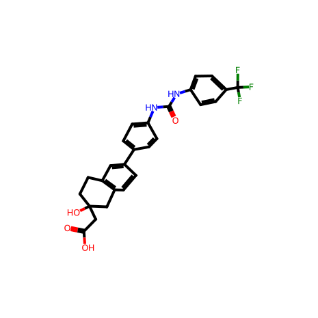 O=C(O)CC1(O)CCc2cc(-c3ccc(NC(=O)Nc4ccc(C(F)(F)F)cc4)cc3)ccc2C1